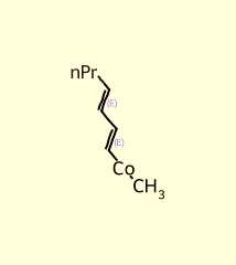 CCC/C=C/C=[CH]/[Co][CH3]